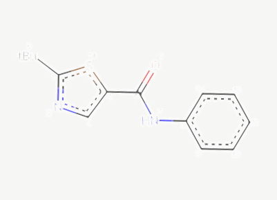 CC(C)(C)c1ncc(C(=O)Nc2ccccc2)s1